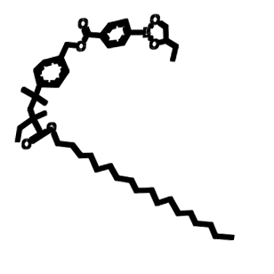 CCCCCCCCCCCCCCCCCCOC(=O)C(C)(CC)CC(C)(C)c1ccc(COC(=O)c2ccc(B3OCC(CC)O3)cc2)cc1